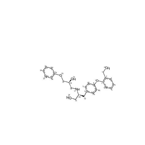 OCc1cccnc1Oc1ccc(C[C@@H](CO)NC[C@H](O)COc2cccnc2)cc1